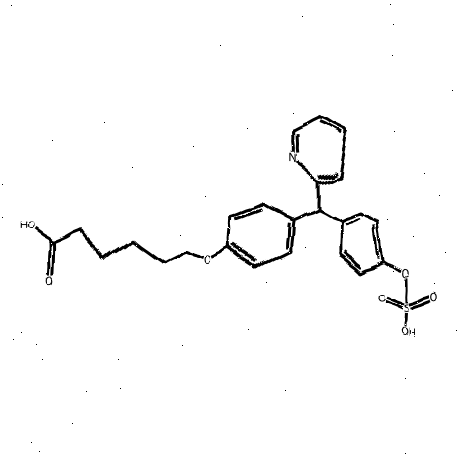 O=C(O)CCCCCOc1ccc(C(c2ccc(OS(=O)(=O)O)cc2)c2ccccn2)cc1